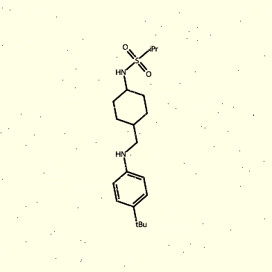 CC(C)S(=O)(=O)NC1CCC(CNc2ccc(C(C)(C)C)cc2)CC1